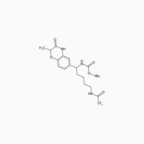 CC1Oc2ccc(C(CCCCNC(=O)C(F)(F)F)NC(=O)OC(C)(C)C)cc2NC1=O